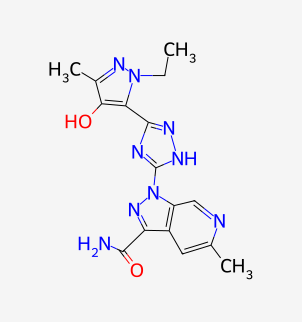 CCn1nc(C)c(O)c1-c1n[nH]c(-n2nc(C(N)=O)c3cc(C)ncc32)n1